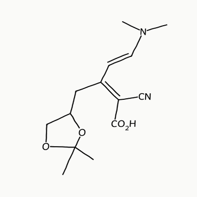 CN(C)C=CC(CC1COC(C)(C)O1)=C(C#N)C(=O)O